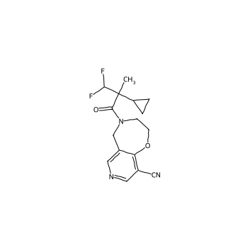 CC(C(=O)N1CCOc2c(C#N)cncc2C1)(C(F)F)C1CC1